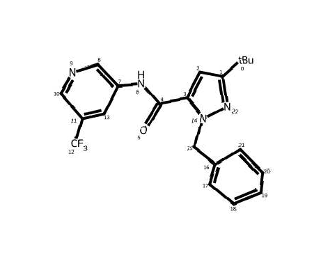 CC(C)(C)c1cc(C(=O)Nc2cncc(C(F)(F)F)c2)n(Cc2ccccc2)n1